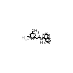 Cc1cc(C)nc(CCNc2ncnc3sccc23)n1